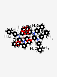 CC1=C(c2ccc(N(c3ccc(-c4c(C)cccc4C)cc3)c3cc4c5c(c3)N(c3ccc(-c6c(C)cccc6C)cc3)c3ccc(-c6c(C)cccc6C)cc3B5c3cc5c(cc3O4)N(c3c(-c4ccccc4)cccc3-c3ccccc3)c3cc(-c4c(C)cccc4C)cc4c3B5c3cc(-c5c(C)cccc5C)ccc3N4c3ccc(-c4c(C)cccc4C)cc3)cc2)C(C)CC=C1